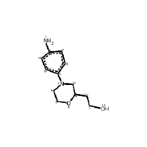 Nc1ccc(N2CCOC(CCO)C2)cc1